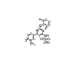 CCCCS(=O)(=O)Nc1cc(-c2ccc(=O)n(C)c2)nc(Oc2c(F)cccc2F)n1